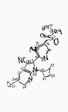 CC(C)NS(=O)(=O)c1cnc(-c2c(C#N)c3cc(Cl)cnc3n2C2CCC2)nc1